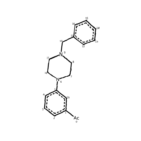 CC(=O)c1cccc(N2CCN(Cc3ccccc3)CC2)c1